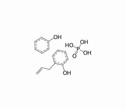 C=CCc1ccccc1O.O=P(O)(O)O.Oc1ccccc1